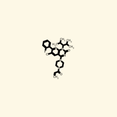 C=CC(=O)N1CCN(c2nc(=O)n(C(C(C)C)C(C)C)c3nc(-c4ccccc4F)c(Cl)cc23)CC1